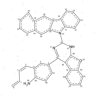 C=C/C=C\c1cc(C2=NC(n3c4ccccc4c4cc5ccccc5cc43)Nc3oc4ccccc4c32)ccc1N